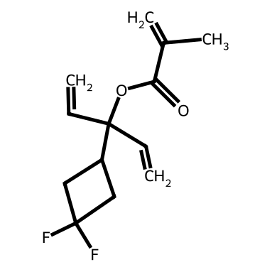 C=CC(C=C)(OC(=O)C(=C)C)C1CC(F)(F)C1